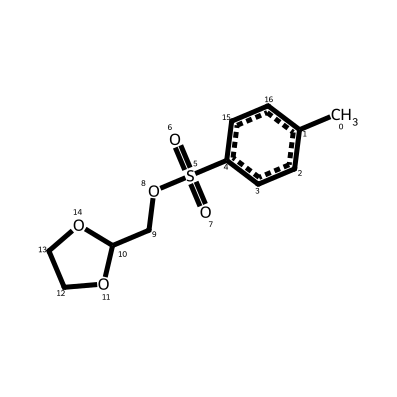 Cc1ccc(S(=O)(=O)OCC2OCCO2)cc1